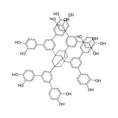 Oc1ccc(-c2cc(-c3ccc(O)c(O)c3)cc(C34CC5(c6cc(-c7ccc(O)c(O)c7)cc(-c7ccc(O)c(O)c7)c6)CC(c6cc(-c7ccc(O)c(O)c7)cc(-c7ccc(O)c(O)c7)c6)(C3)CC(c3cc(-c6ccc(O)c(O)c6)cc(-c6ccc(O)c(O)c6)c3)(C4)C5)c2)cc1O